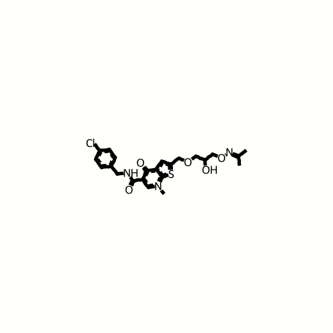 CC(C)=NOCC(O)COCc1cc2c(=O)c(C(=O)NCc3ccc(Cl)cc3)cn(C)c2s1